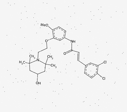 COc1ccc(NC(=O)C=Cc2ccc(Cl)c(Cl)c2)cc1OCCN1C(C)(C)CC(O)CC1(C)C